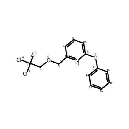 ClC(Cl)(Cl)COCc1cccc(Oc2ccccc2)n1